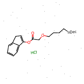 CCCCCCCCCCCCCCOCC(=O)OC1=CCc2ccccc21.Cl